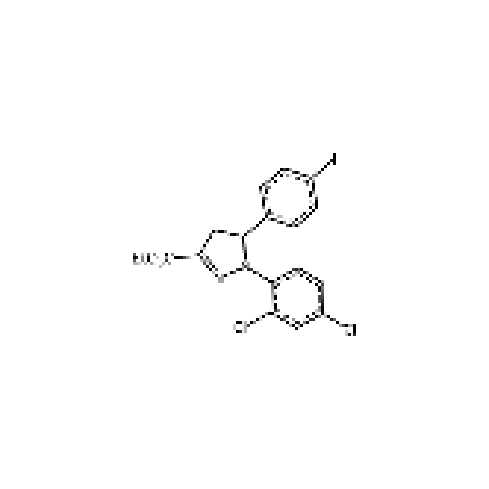 CCOC(=O)C1=NN(c2ccc(Cl)cc2Cl)C(c2ccc(I)cc2)C1